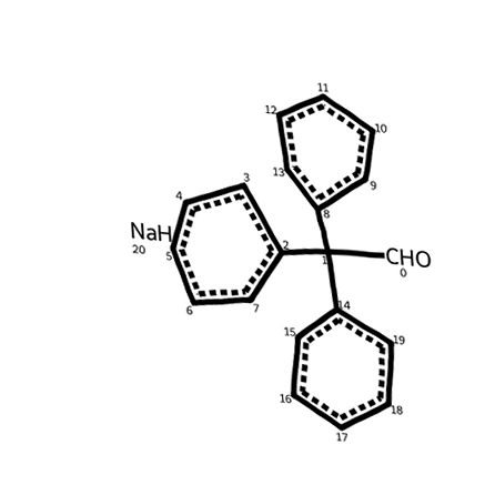 O=CC(c1ccccc1)(c1ccccc1)c1ccccc1.[NaH]